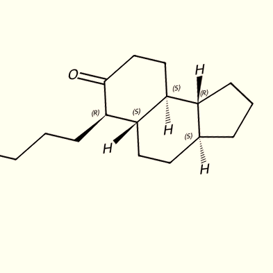 CCCC[C@H]1C(=O)CC[C@H]2[C@@H]3CCC[C@H]3CC[C@@H]21